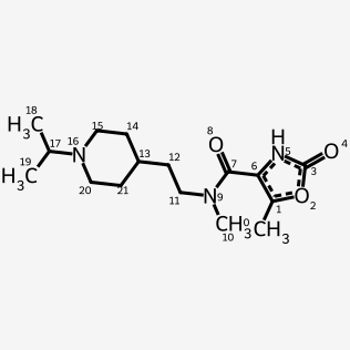 Cc1oc(=O)[nH]c1C(=O)N(C)CCC1CCN(C(C)C)CC1